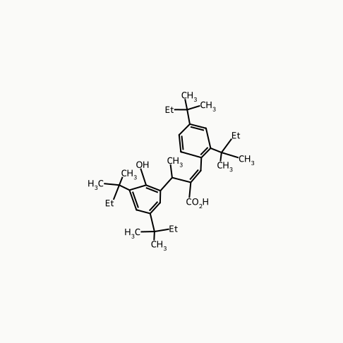 CCC(C)(C)c1ccc(C=C(C(=O)O)C(C)c2cc(C(C)(C)CC)cc(C(C)(C)CC)c2O)c(C(C)(C)CC)c1